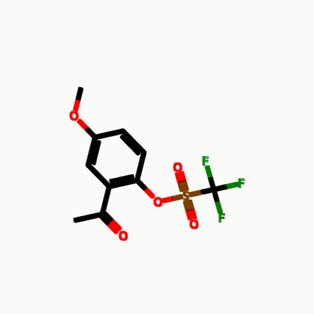 COc1ccc(OS(=O)(=O)C(F)(F)F)c(C(C)=O)c1